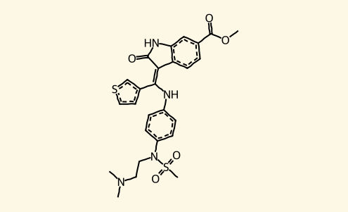 COC(=O)c1ccc2c(c1)NC(=O)C2=C(Nc1ccc(N(CCN(C)C)S(C)(=O)=O)cc1)c1ccsc1